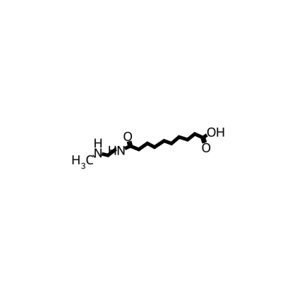 CNCCNC(=O)CCCCCCCCC(=O)O